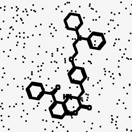 COC(=O)[C@H](Cc1ccc(OCCN(c2ccccc2)C2CCCCC2)cc1)Nc1ccccc1C(=O)c1ccccc1